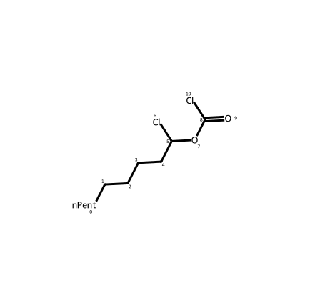 CCCCCCCCCC(Cl)OC(=O)Cl